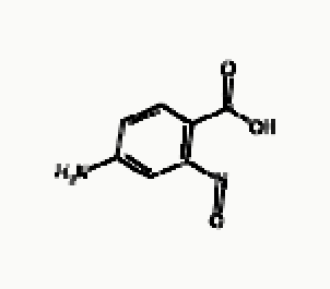 Nc1ccc(C(=O)O)c(N=O)c1